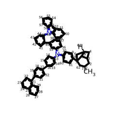 C[C@H]1CC2C[C@H]3CC(c4ccc(N(c5ccc(-c6ccc(-c7cccc8ccccc78)cc6)cc5)c5cccc(-c6ccccc6-n6c7ccccc7c7ccccc76)c5)cc4)(C1)C23